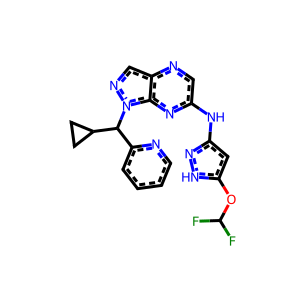 FC(F)Oc1cc(Nc2cnc3cnn(C(c4ccccn4)C4CC4)c3n2)n[nH]1